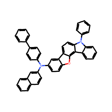 c1ccc(-c2ccc(N(c3ccc4ccccc4c3)c3ccc4oc5c(ccc6c5c5ccccc5n6-c5ccccc5)c4c3)cc2)cc1